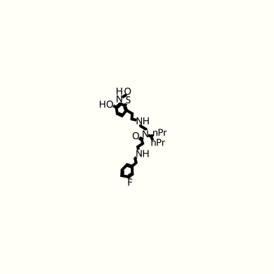 CCCC(CCC)N(CCNCCc1ccc(O)c2[nH]c(=O)sc12)C(=O)CCNCCc1cccc(F)c1